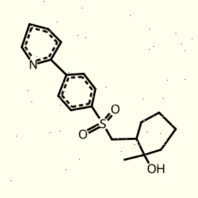 CC1(O)CCCCC1CS(=O)(=O)c1ccc(-c2ccccn2)cc1